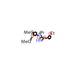 CCOc1cccc(COC2CNCC2CN(C(=O)c2ccc(OC)c(OCCCOC)c2)C(C)C)c1